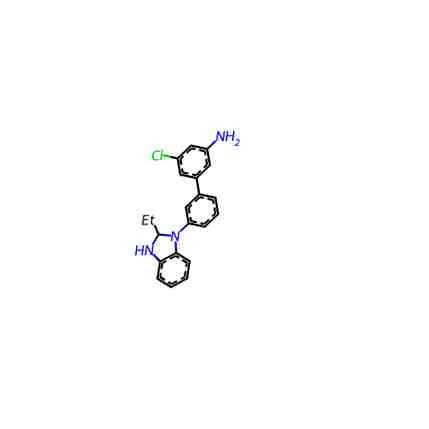 CCC1Nc2ccccc2N1c1cccc(-c2cc(N)cc(Cl)c2)c1